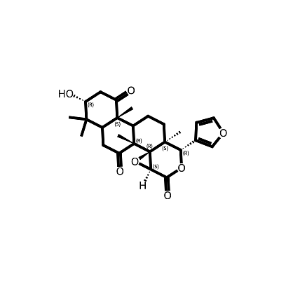 CC1(C)C2CC(=O)[C@]3(C)C(CC[C@@]4(C)[C@H](c5ccoc5)OC(=O)[C@H]5O[C@]543)[C@@]2(C)C(=O)C[C@H]1O